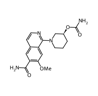 COc1cc2c(N3CCC[C@H](OC(N)=O)C3)nccc2cc1C(N)=O